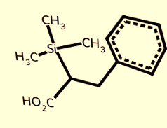 C[Si](C)(C)C(Cc1ccccc1)C(=O)O